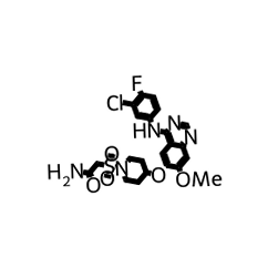 COc1cc2ncnc(Nc3ccc(F)c(Cl)c3)c2cc1OC1CCN(S(=O)(=O)CC(N)=O)CC1